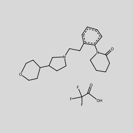 O=C(O)C(F)(F)F.O=C1CCCCN1c1ccccc1CCN1CCC(C2CCOCC2)C1